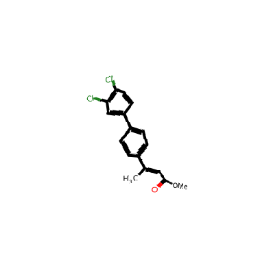 COC(=O)C=C(C)c1ccc(-c2ccc(Cl)c(Cl)c2)cc1